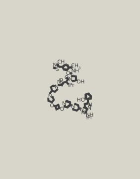 Cc1ncsc1-c1ccc([C@H](C)NC(=O)[C@@H]2C[C@@H](O)CN2C(=O)C(c2cc(N3CCC(CN4CCC(OC5CC(Oc6cc(N7CCC(n8nc(NC(C)C)c9nnc(-c%10ccccc%10O)cc98)CC7)ccn6)C5)CC4)CC3)no2)C(C)C)cc1